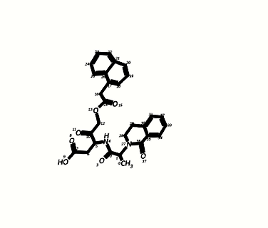 CC(C(=O)NC(CC(=O)O)C(=O)COC(=O)Cc1cccc2ccccc12)N1CCc2ccccc2C1=O